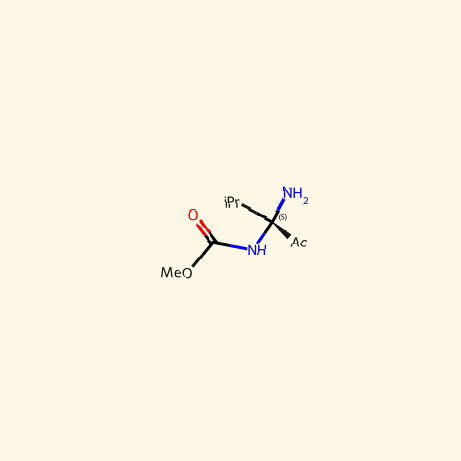 COC(=O)N[C@](N)(C(C)=O)C(C)C